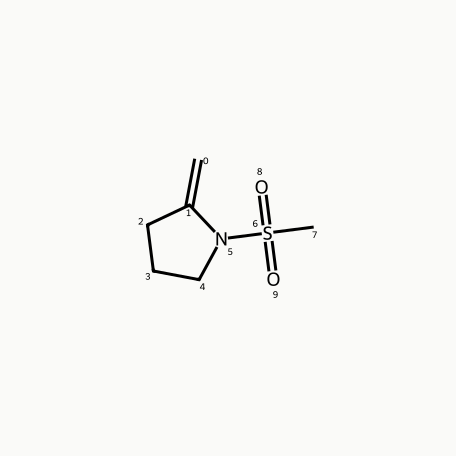 C=C1CCCN1S(C)(=O)=O